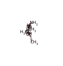 CCCC1CCC(CCc2ccc(C3=CN4C(=O)c5cc(OC)c(OCCCOc6cc7c(cc6OC)C(=O)N6C=C(c8ccc(N)cc8)C[C@H]6C=N7)cc5N=C[C@@H]4C3)cc2)CC1